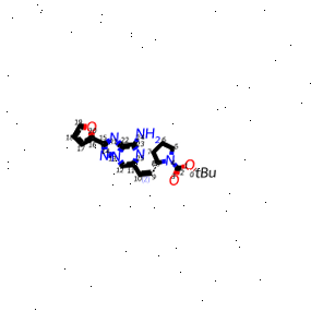 CC(C)(C)OC(=O)N1CCC[C@H]1/C=C\c1cn2nc(-c3ccco3)nc2c(N)n1